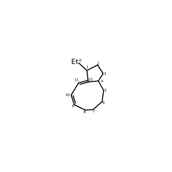 CCC1CCC2CCCCC=CC=C12